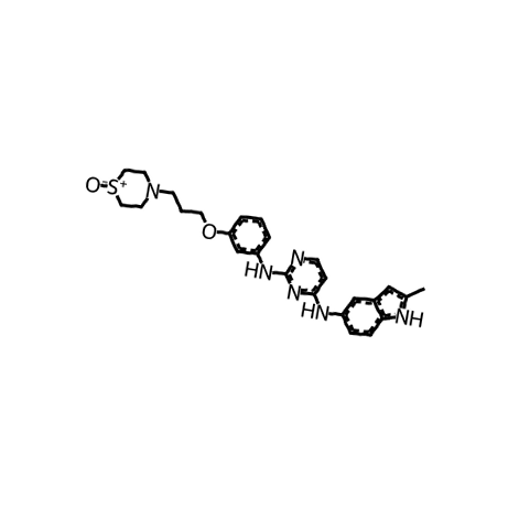 Cc1cc2cc(Nc3ccnc(Nc4cccc(OCCCN5CC[S+]([O-])CC5)c4)n3)ccc2[nH]1